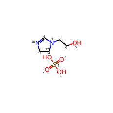 O=S(=O)(O)O.OCCN1C=NCC1